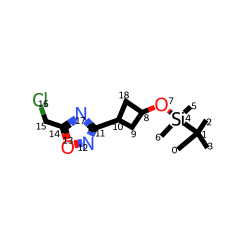 CC(C)(C)[Si](C)(C)OC1CC(c2noc(CCl)n2)C1